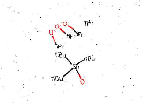 CC(C)[O-].CC(C)[O-].CC(C)[O-].CCC[CH2][Sn]([O-])([CH2]CCC)[CH2]CCC.[Ti+4]